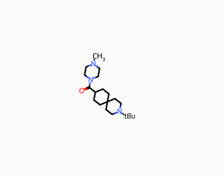 CN1CCN(C(=O)C2CCC3(CC2)CCN(C(C)(C)C)CC3)CC1